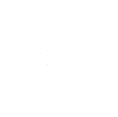 CC(=NC(=N)NN)c1ccccc1OC(C)C